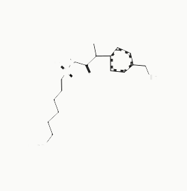 CCCCCCCCCCCCCCCCS(=O)(=O)NC(=O)C(C)c1ccc(CC(C)C)cc1